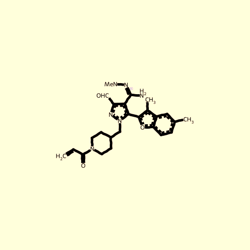 C=CC(=O)N1CCC(Cn2nc(C=O)c(/C(N)=N\NC)c2-c2oc3ccc(C)cc3c2C)CC1